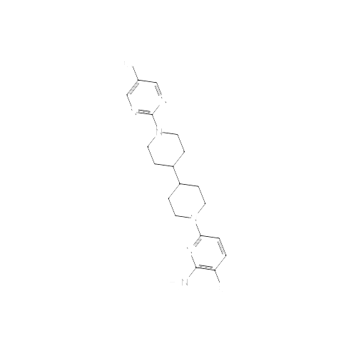 Nc1nc(N2CCC(C3CCN(c4ncc(Cl)cn4)CC3)CC2)ccc1Cl